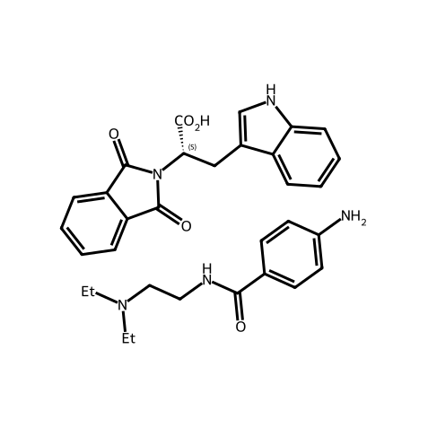 CCN(CC)CCNC(=O)c1ccc(N)cc1.O=C(O)[C@H](Cc1c[nH]c2ccccc12)N1C(=O)c2ccccc2C1=O